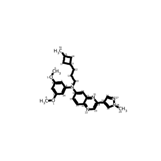 COc1cc(OC)cc(N(CCCC2CC(C)C2)c2ccc3ncc(-c4cnn(C)c4)nc3c2)c1